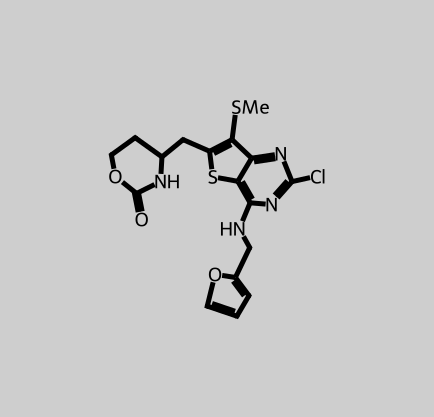 CSc1c(CC2CCOC(=O)N2)sc2c(NCc3ccco3)nc(Cl)nc12